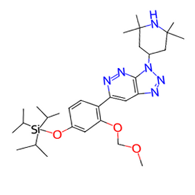 COCOc1cc(O[Si](C(C)C)(C(C)C)C(C)C)ccc1-c1cc2nnn(C3CC(C)(C)NC(C)(C)C3)c2nn1